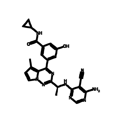 Cc1ccn2nc([C@H](C)Nc3ncnc(N)c3C#N)nc(-c3cc(O)cc(C(=O)NC4CC4)c3)c12